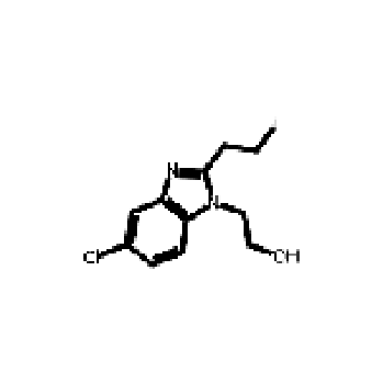 OCCn1c(CCI)nc2cc(Cl)ccc21